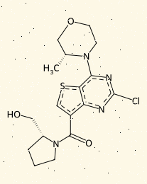 C[C@@H]1COCCN1c1nc(Cl)nc2c(C(=O)N3CCC[C@@H]3CO)csc12